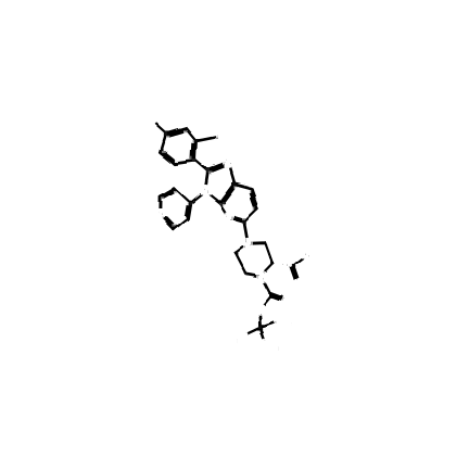 CC(C)(C)OC(=O)N1CCN(c2ccc3nc(-c4ccc(F)cc4F)n(-c4ccncc4)c3n2)C[C@@H]1C(N)=O